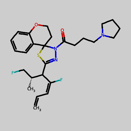 C=C/C=C(/F)C(C1=NN(C(=O)CCCN2CCCC2)C2(CCOc3ccccc32)S1)[C@H](C)CF